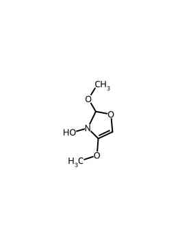 COC1=COC(OC)N1O